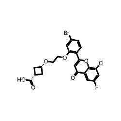 O=c1cc(-c2ccc(Br)cc2OCCO[C@H]2C[C@@H](C(=O)O)C2)oc2c(Cl)cc(F)cc12